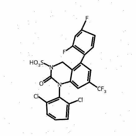 O=C1N(c2c(Cl)cccc2Cl)c2cc(C(F)(F)F)cc(-c3ccc(F)cc3F)c2CN1S(=O)(=O)O